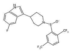 [O-][S+](c1cc(C(F)(F)F)ccc1C(F)(F)F)N1CCC(c2c[nH]c3ccc(F)cc23)CC1